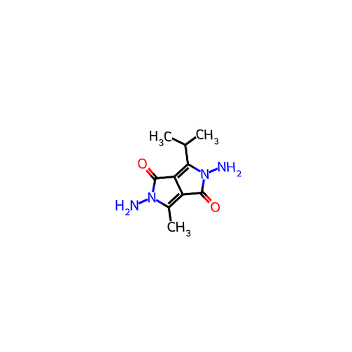 CC1=C2C(=O)N(N)C(C(C)C)=C2C(=O)N1N